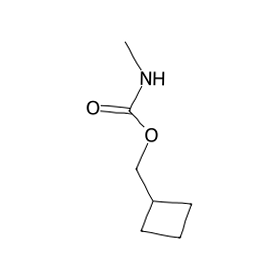 CNC(=O)OCC1CCC1